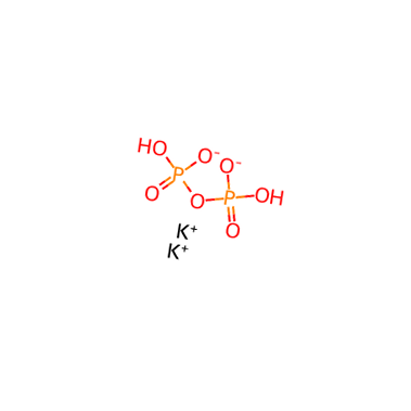 O=P([O-])(O)OP(=O)([O-])O.[K+].[K+]